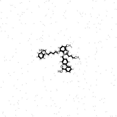 CCCCc1nc2c(C)ccc(OCCCCN3CNC4CC=CC=C43)c2n1Cc1ccc(-c2ccccc2C(=O)O)cc1